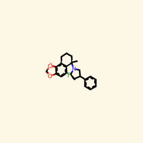 CC1(N2CCC(c3ccccc3)C2)CCCc2c3c(cc(F)c21)OCO3